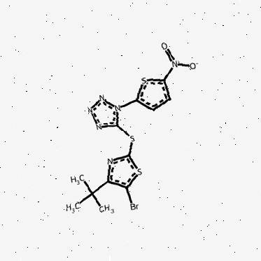 CC(C)(C)c1nc(Sc2nnnn2-c2ccc([N+](=O)[O-])s2)sc1Br